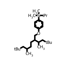 CC(CCC(COc1ccc([Si](C)(C)C(C)C)cc1)C(C)CC(C)(C)C)CC(C)(C)C